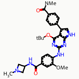 CNC(=O)c1ccc(-c2c[nH]c3nc(Nc4ccc(C(=O)NC5CN(C)C5)cc4OC)nc(OC(C)(C)C)c23)cc1